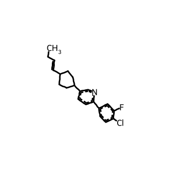 CCC=CC1CCC(c2ccc(-c3ccc(Cl)c(F)c3)nc2)CC1